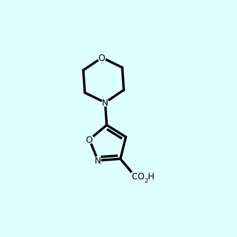 O=C(O)c1cc(N2CCOCC2)on1